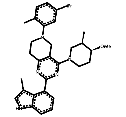 CO[C@H]1CCN(c2nc(-c3cccc4[nH]cc(C)c34)nc3c2CN(c2cc(C(C)C)ccc2C)CC3)C[C@H]1C